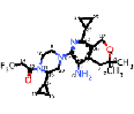 CC1(C)Cc2c(N)c(N3CCN(C(=O)CC(F)(F)F)C(C4CC4)C3)nc(C3CC3)c2CO1